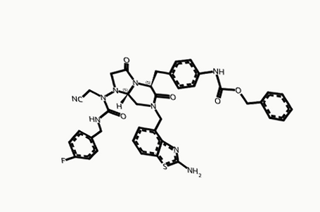 N#CCN(C(=O)NCc1ccc(F)cc1)N1CC(=O)N2[C@@H](Cc3ccc(NC(=O)OCc4ccccc4)cc3)C(=O)N(Cc3cccc4sc(N)nc34)C[C@@H]21